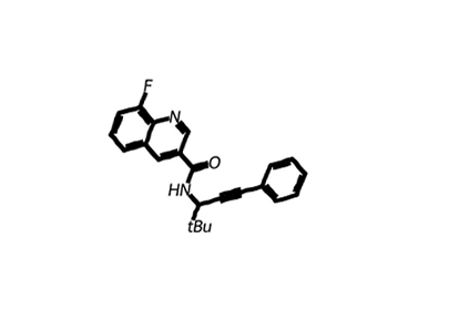 CC(C)(C)C(C#Cc1ccccc1)NC(=O)c1cnc2c(F)cccc2c1